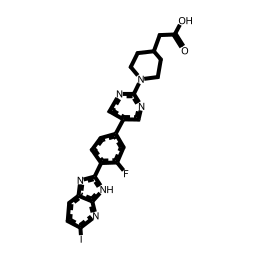 O=C(O)CC1CCN(c2ncc(-c3ccc(-c4nc5ccc(I)nc5[nH]4)c(F)c3)cn2)CC1